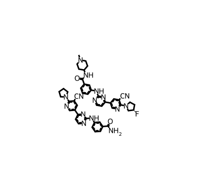 CN1CCC(NC(=O)c2cccc(Nc3nccc(-c4cnc(N5CC[C@H](F)C5)c(C#N)c4)n3)c2)CC1.N#Cc1cc(-c2ccnc(Nc3cccc(C(N)=O)c3)n2)cnc1N1CCCC1